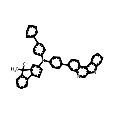 CC1(C)c2ccccc2-c2ccc(N(c3ccc(-c4ccccc4)cc3)c3ccc(-c4ccc5c(c4)ncc4sc6ccccc6c45)cc3)cc21